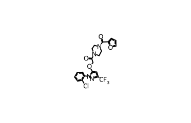 O=C(COc1cc(C(F)(F)F)nn1-c1ccccc1Cl)N1CCN(C(=O)c2ccco2)CC1